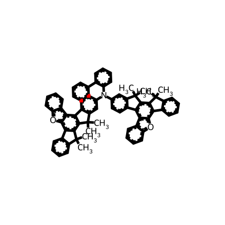 CC1(C)c2ccccc2-c2c1c1c(c3c2oc2ccccc23)-c2ccc(N(c3ccc4c(c3)C(C)(C)c3c5c(c6oc7ccccc7c6c3-4)-c3ccccc3C5(C)C)c3ccccc3-c3ccccc3)cc2C1(C)C